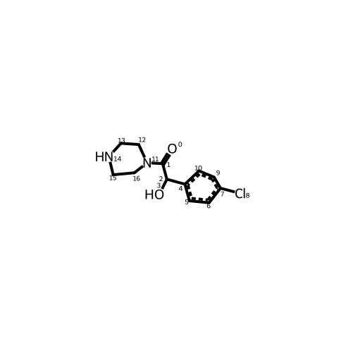 O=C(C(O)c1ccc(Cl)cc1)N1CCNCC1